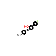 CCC[C@H]1CC[C@H](CC[C@@H]2CCC(c3ccc(F)cc3)C[C@H]2O)CC1